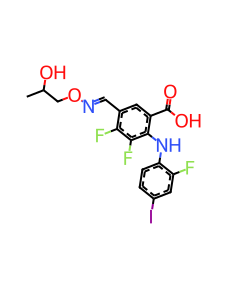 CC(O)CO/N=C/c1cc(C(=O)O)c(Nc2ccc(I)cc2F)c(F)c1F